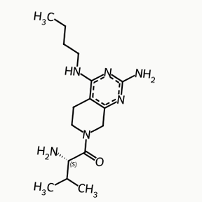 CCCCNc1nc(N)nc2c1CCN(C(=O)[C@@H](N)C(C)C)C2